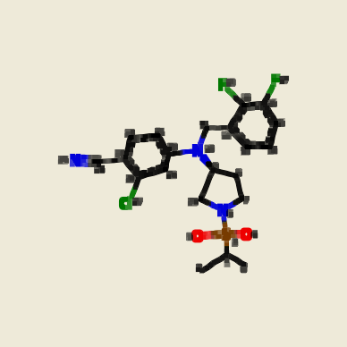 CC(C)S(=O)(=O)N1CC[C@H](N(Cc2cccc(F)c2F)c2ccc(C#N)c(Cl)c2)C1